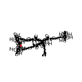 CCN(C)CCCCCC(=O)NC(COCCC(=O)NCCOCCOCCO[C@@H]1OC(CO)[C@H](O)C(O)[C@@H]1NC(C)=O)(COCCC(=O)NCCOCCOCCO[C@@H]1OC(CO)[C@H](O)C(O)[C@@H]1NC(C)=O)COCCC(=O)NCCOCCOCCO[C@@H]1OC(CO)[C@H](O)C(O)[C@@H]1NC(C)=O